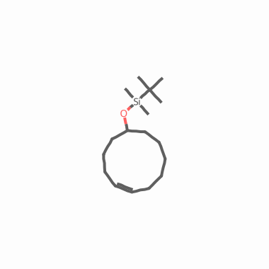 CC(C)(C)[Si](C)(C)OC1CCCC=CCCCCC1